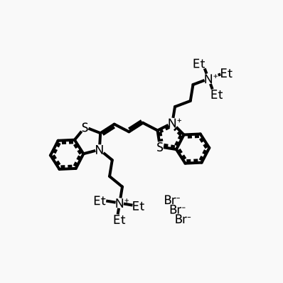 CC[N+](CC)(CC)CCCN1C(=CC=Cc2sc3ccccc3[n+]2CCC[N+](CC)(CC)CC)Sc2ccccc21.[Br-].[Br-].[Br-]